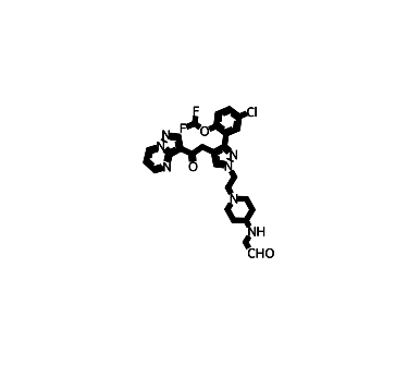 O=CCNC1CCN(CCn2cc(CC(=O)c3cnn4cccnc34)c(-c3cc(Cl)ccc3OC(F)F)n2)CC1